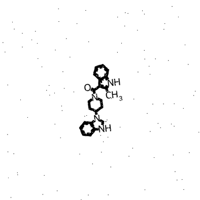 Cc1[nH]c2ccccc2c1C(=O)N1CCC(N2[CH]Nc3ccccc32)CC1